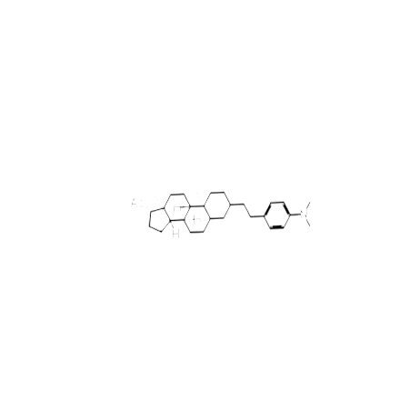 CC(=O)[C@H]1CC[C@H]2[C@@H]3CCC4CC(CCc5ccc(N(C)C)cc5)CC[C@]4(C)[C@H]3CC[C@]12C